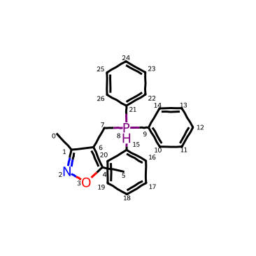 Cc1noc(C)c1C[PH](c1ccccc1)(c1ccccc1)c1ccccc1